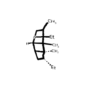 CC[C@@H]1CC2[C@@H]3N4CC(C)C4(CC)C3(C)[C@]21C